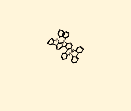 c1ccc(-n2c3ccccc3c3ccc4c5c6c(ccc5n(-c5ccccc5)c4c32)B2c3ccccc3-c3ccccc3N2c2ccccc2-6)cc1